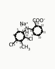 Cc1c(Cl)ccc(Nc2ccccc2C(=O)[O-])c1Cl.[Na+]